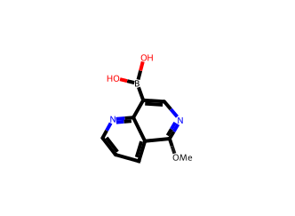 COc1ncc(B(O)O)c2ncccc12